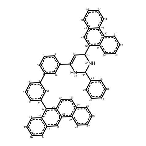 C1=C(c2cccc(-c3cccc(-c4c5ccccc5cc5c4ccc4ccccc45)c3)c2)NC(c2ccccc2)NC1c1cc2ccccc2c2ccccc12